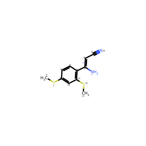 CSc1ccc(/C(N)=C/C#N)c(SC)c1